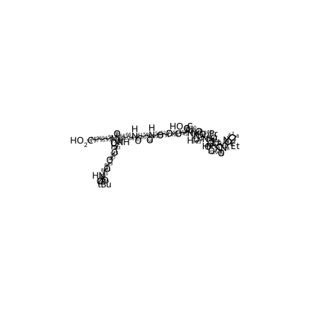 CCc1c2c(nc3ccccc13)-c1cc3c(c(=O)n1C2)COC(=O)[C@@]3(CC)OC(=O)[C@@H](NC(=O)[C@@H]1CCCN1C(=O)[C@H](CC(=O)O)NC(=O)CCOCCOCCOCCNC(=O)CCCC(=O)NCCCC[C@H](NC(=O)CCOCCOCCOCCNC(=O)OC(C)(C)C)C(=O)NCCCCCCCC(=O)O)C(C)C